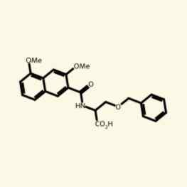 COc1cc2c(OC)cccc2cc1C(=O)NC(COCc1ccccc1)C(=O)O